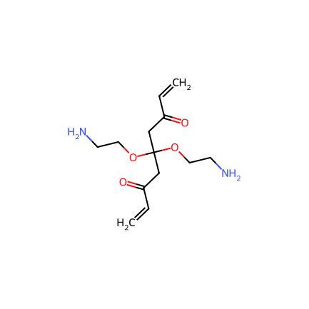 C=CC(=O)CC(CC(=O)C=C)(OCCN)OCCN